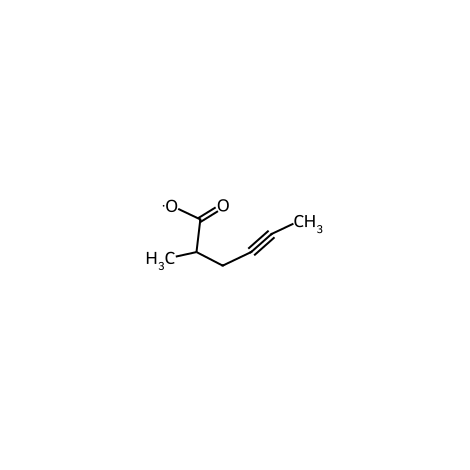 CC#CCC(C)C([O])=O